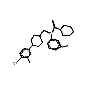 C=C(C1CCCCC1)N(CC1CCC(c2ccc(CC)c(C)c2)CC1)c1cccc(C)c1